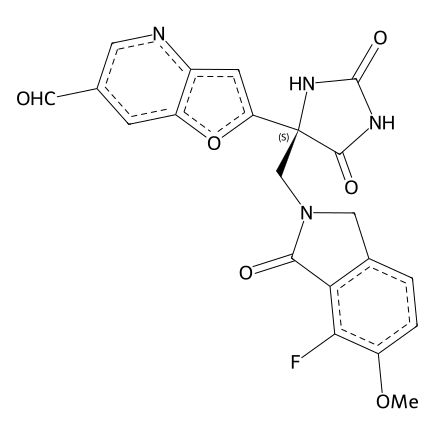 COc1ccc2c(c1F)C(=O)N(C[C@@]1(c3cc4ncc(C=O)cc4o3)NC(=O)NC1=O)C2